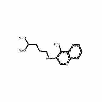 COC(CCCNc1cnc2cccnc2c1N)OC